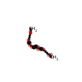 C=C=COOCCCCCCOc1ccc(OCOc2ccc3cc(OC(=O)c4ccc(OCCCCCCOC(=O)C=C)cc4)ccc3c2)cc1